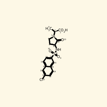 C[C@@H](C(=O)O)N1CCC(NS(=O)(=O)c2ccc3cc(Cl)ccc3c2)C1=O